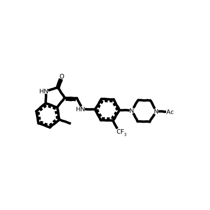 CC(=O)N1CCN(c2ccc(N/C=C3/C(=O)Nc4cccc(C)c43)cc2C(F)(F)F)CC1